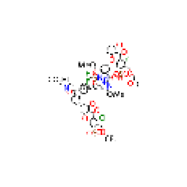 CCOC(=O)C1=NOC(c2ccccc2)(c2ccccc2)C1.COCc1cccc(C(O)c2nc(OC)cc(OC)n2)c1NS(=O)(=O)C(F)F.CS(=O)(=O)c1ccc(C(=O)C2C(=O)CCCC2=O)c(Cl)c1COCC(F)(F)F.CS(=O)(=O)c1ccc(C(=O)C2C(=O)CCCC2=O)c(Cl)c1COCC1CCCO1